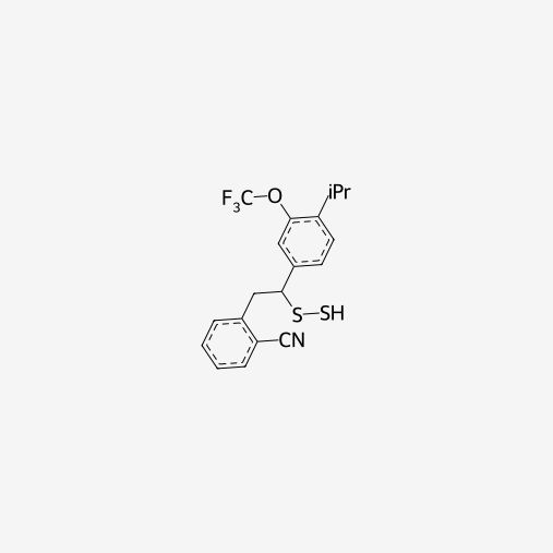 CC(C)c1ccc(C(Cc2ccccc2C#N)SS)cc1OC(F)(F)F